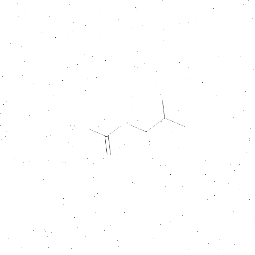 COC(=O)OCC(C)Cl